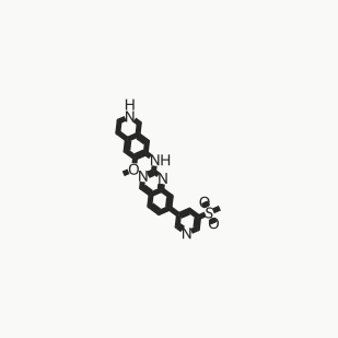 COc1cc2c(cc1Nc1ncc3ccc(-c4cncc(S(C)(=O)=O)c4)cc3n1)CNCC2